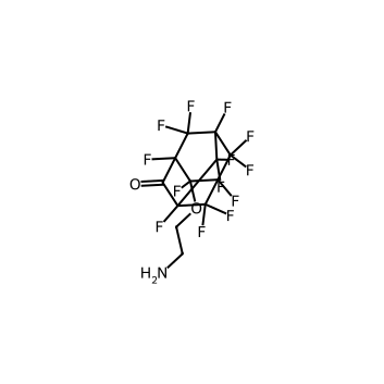 NCCOC1(F)C2(F)C(=O)C3(F)C(F)(F)C(F)(C2(F)F)C(F)(F)C1(F)C3(F)F